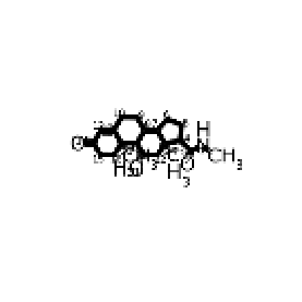 CNC(=O)C1CCC2C3CCC4=CC(=O)CC[C@]4(C)C3[C@@H](O)C[C@]12C